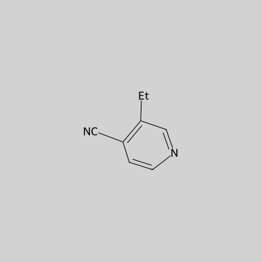 CCc1cnccc1C#N